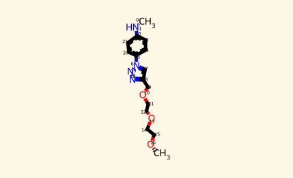 CNc1ccc(-n2cc(COCCOCCOC)nn2)cc1